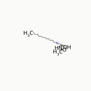 CCCCCCCCCCCCC/C=C/C[C@H](CO)NC(C)=O